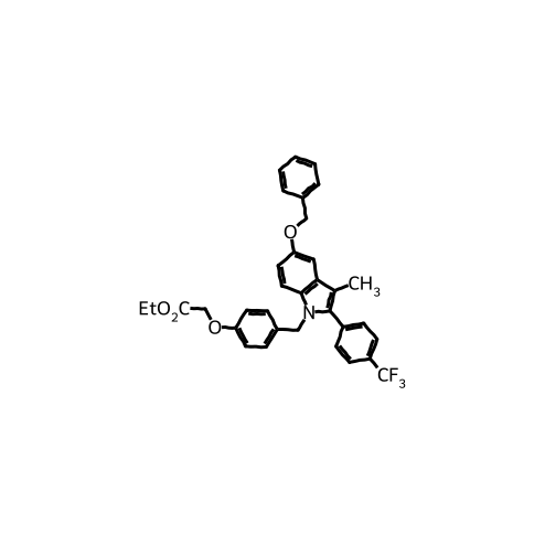 CCOC(=O)COc1ccc(Cn2c(-c3ccc(C(F)(F)F)cc3)c(C)c3cc(OCc4ccccc4)ccc32)cc1